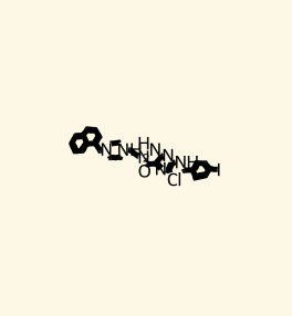 Nc1nc(NCc2ccc(I)cc2)c(Cl)nc1C(=O)NCCN1CCN(Cc2cccc3ccccc23)CC1